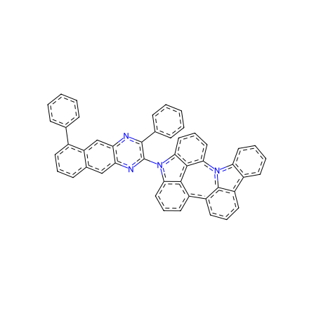 c1ccc(-c2nc3cc4c(-c5ccccc5)cccc4cc3nc2-n2c3cccc4c5cccc6c7ccccc7n(c7cccc2c7c43)c56)cc1